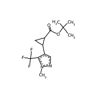 Cn1ncc(C2CC2C(=O)OC(C)(C)C)c1C(F)(F)F